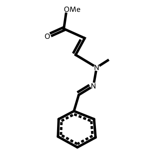 COC(=O)C=CN(C)N=Cc1ccccc1